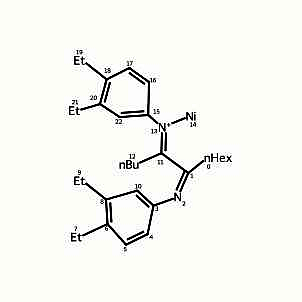 CCCCCCC(=Nc1ccc(CC)c(CC)c1)C(CCCC)=[N+]([Ni])c1ccc(CC)c(CC)c1